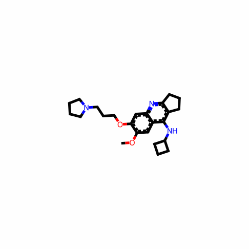 COc1cc2c(NC3CCC3)c3c(nc2cc1OCCCN1CCCC1)CCC3